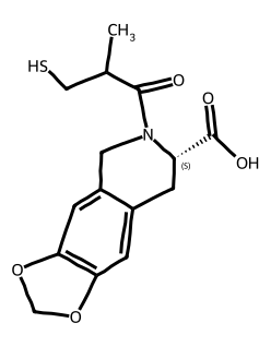 CC(CS)C(=O)N1Cc2cc3c(cc2C[C@H]1C(=O)O)OCO3